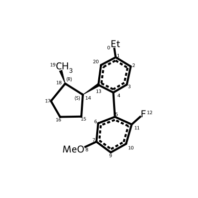 CCc1ccc(-c2cc(OC)ccc2F)c([C@H]2CCC[C@H]2C)c1